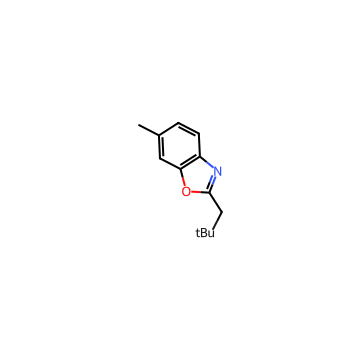 Cc1ccc2nc(CC(C)(C)C)oc2c1